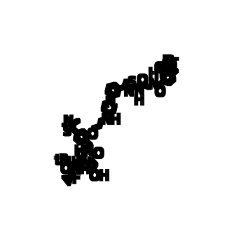 Cc1ccc(C(=O)NCC(=O)Nc2nc(-c3cccc(N4CCC(NCCCOc5cc(-c6scnc6C)ccc5CNC(=O)[C@@H]5C[C@@H](O)CN5C(=O)[C@@H](NC(=O)C5(F)CC5)C(C)(C)C)CC4)c3)cs2)cc1S(=O)(=O)C(C)C